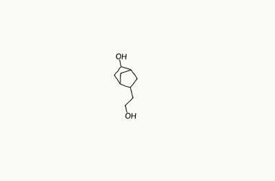 OCCC1CC2CC1CC2O